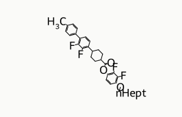 CCCCCCCOc1ccc(OC(=O)C2CCC(c3ccc(-c4ccc(C)cc4)c(F)c3F)CC2)c(F)c1F